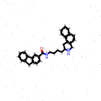 O=C(NCCCCC1Cc2c(ccc3ccccc23)CN1)c1ccc2c(c1)-c1ccccc1C2